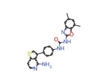 Cc1cc(C)c2oc(NC(=O)Nc3ccc(-c4csc5ccnc(N)c45)cc3)nc2c1